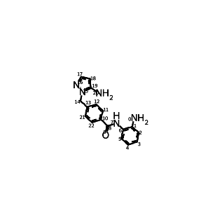 Nc1ccccc1NC(=O)c1ccc(Cn2nccc2N)cc1